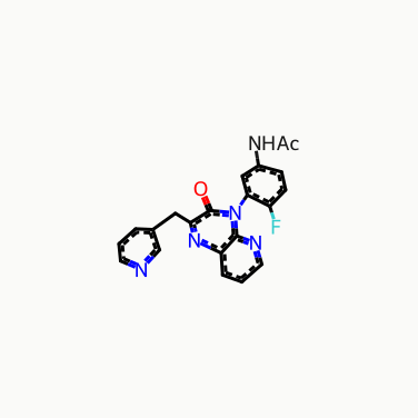 CC(=O)Nc1ccc(F)c(-n2c(=O)c(Cc3cccnc3)nc3cccnc32)c1